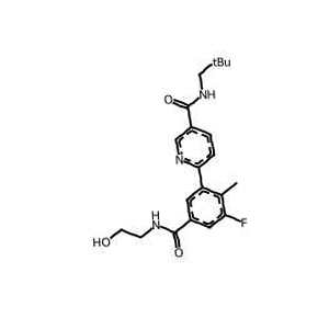 Cc1c(F)cc(C(=O)NCCO)cc1-c1ccc(C(=O)NCC(C)(C)C)cn1